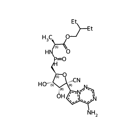 CCC(CC)COC(=O)[C@H](C)N[PH](=O)C[C@H]1O[C@@](C#N)(c2ccc3c(N)ncnn23)[C@H](O)[C@@H]1O